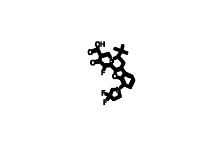 CC(C)(C)C1Cc2c(oc3c(N4CCC(F)(F)C4)cccc23)-c2c(F)c(=O)c(C(=O)O)cn21